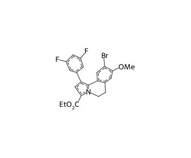 CCOC(=O)c1cc(-c2cc(F)cc(F)c2)c2n1CCc1cc(OC)c(Br)cc1-2